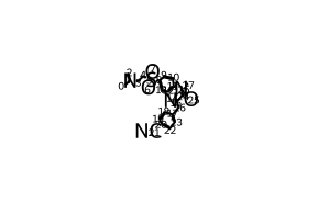 CN(C)CCS(=O)(=O)c1ccc2c(c1)nc(Cc1ccc(C#N)cc1)c(=O)n2C